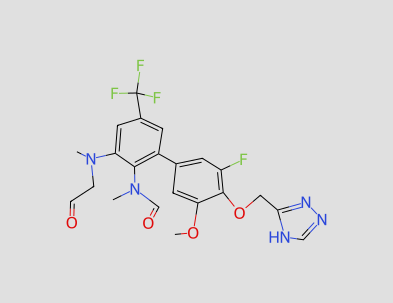 COc1cc(-c2cc(C(F)(F)F)cc(N(C)CC=O)c2N(C)C=O)cc(F)c1OCc1nnc[nH]1